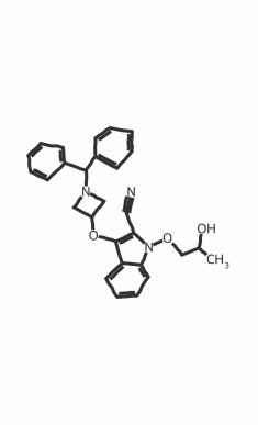 CC(O)COn1c(C#N)c(OC2CN(C(c3ccccc3)c3ccccc3)C2)c2ccccc21